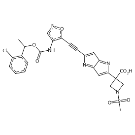 CC(OC(=O)Nc1cnoc1C#CC1=CC2=NC(C3(C(=O)O)CN(S(C)(=O)=O)C3)=CC2=N1)c1ccccc1Cl